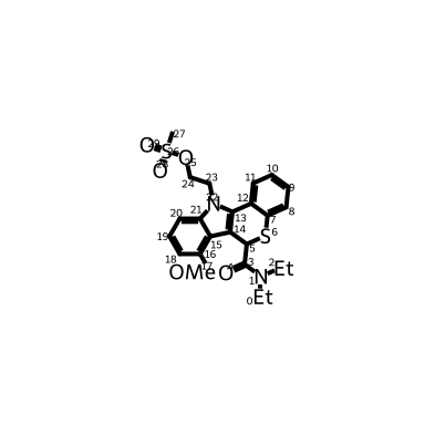 CCN(CC)C(=O)C1Sc2ccccc2-c2c1c1c(OC)cccc1n2CCOS(C)(=O)=O